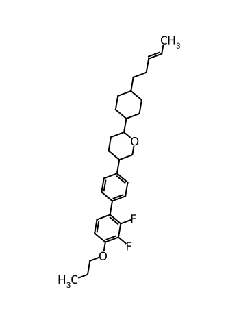 C/C=C/CCC1CCC(C2CCC(c3ccc(-c4ccc(OCCC)c(F)c4F)cc3)CO2)CC1